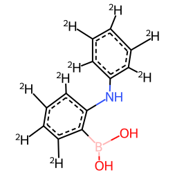 [2H]c1c([2H])c([2H])c(Nc2c([2H])c([2H])c([2H])c([2H])c2B(O)O)c([2H])c1[2H]